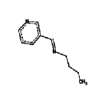 CCCCN=Cc1cccnc1